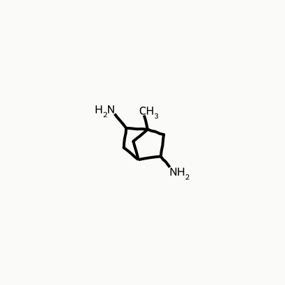 CC12CC(N)C(CC1N)C2